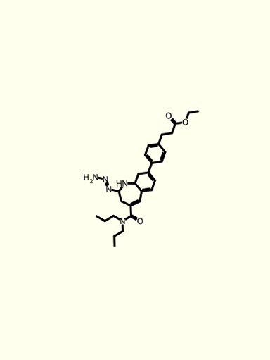 CCCN(CCC)C(=O)C1=CC2=CC=C(c3ccc(CCC(=O)OCC)cc3)CC2NC(N=NN)C1